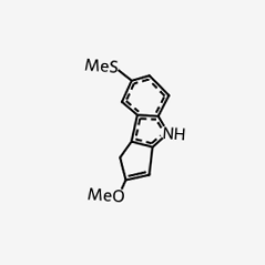 COC1=Cc2[nH]c3ccc(SC)cc3c2C1